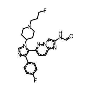 O=CNc1cn2nc(-c3c(-c4ccc(F)cc4)ncn3C3CCN(CCCF)CC3)ccc2n1